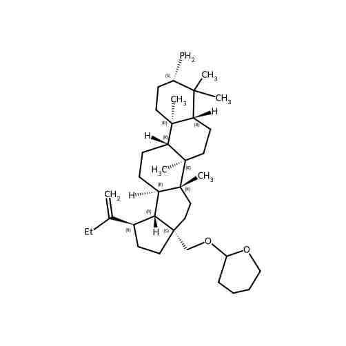 C=C(CC)[C@@H]1CC[C@]2(COC3CCCCO3)CC[C@]3(C)[C@H](CC[C@@H]4[C@@]5(C)CC[C@H](P)C(C)(C)[C@@H]5CC[C@]43C)[C@@H]12